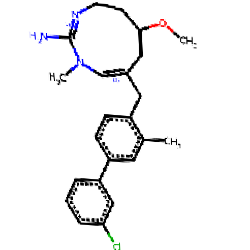 COC1CC/N=C(/N)N(C)/C=C(/Cc2ccc(-c3cccc(Cl)c3)cc2C)C1